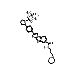 CC(C)(C)OC(=O)N1CCCC1c1ccc(-c2cn3c(n2)sc2cc(C(=O)NCCCN4CCCCC4)ccc23)cc1